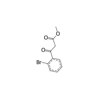 COC(=O)CC(=O)c1ccccc1Br